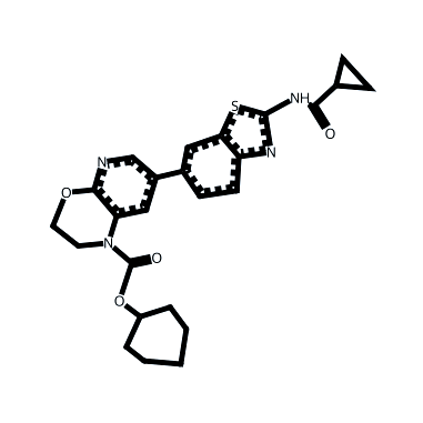 O=C(Nc1nc2ccc(-c3cnc4c(c3)N(C(=O)OC3CCCCC3)CCO4)cc2s1)C1CC1